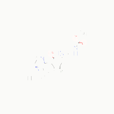 CC(C)(C)OC(=O)NCCNC1C=C(Cl)C=C(C2=NC=CNC2CC(=O)O)C1=O